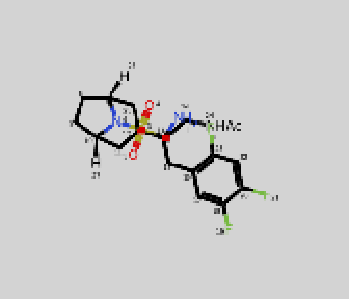 CC(=O)NCCS(=O)(=O)N1[C@@H]2CC[C@H]1C[C@H](C(N)Cc1cc(F)c(F)cc1F)C2